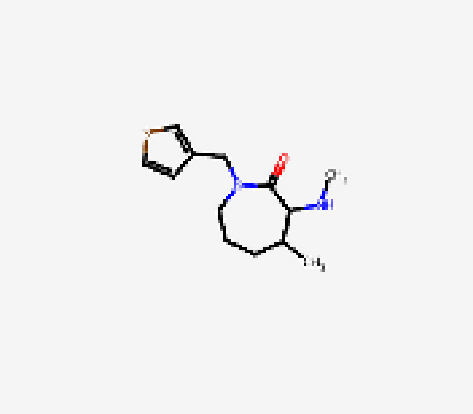 CNC1C(=O)N(Cc2ccsc2)CCCC1C